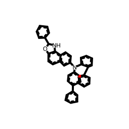 c1ccc(-c2ccc(N(c3ccc4c5c(ccc4c3)OC(c3ccccc3)N5)c3ccccc3-c3ccccc3)cc2)cc1